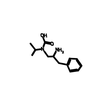 CC(C)N(CC(N)Cc1ccccc1)C(=O)O